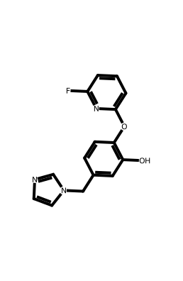 Oc1cc(Cn2ccnc2)ccc1Oc1cccc(F)n1